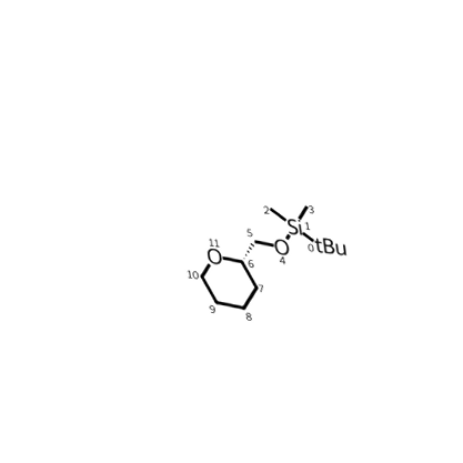 CC(C)(C)[Si](C)(C)OC[C@@H]1CCCCO1